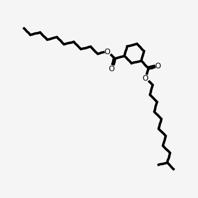 CCCCCCCCCCOC(=O)C1CCCC(C(=O)OCCCCCCCCCC(C)C)C1